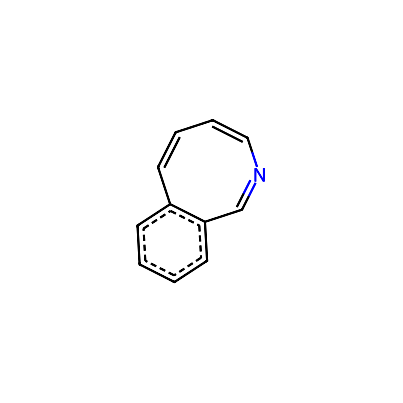 C1=C\N=C/c2ccccc2\C=C/1